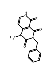 Cn1c(=O)n(Cc2ccccc2)c(=O)c2c(=O)[nH]ccc21